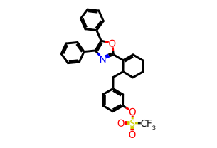 O=S(=O)(Oc1cccc(CC2CCCC=C2c2nc(-c3ccccc3)c(-c3ccccc3)o2)c1)C(F)(F)F